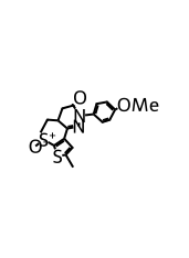 COc1ccc(N2N=C3c4cc(C)sc4[S+]([O-])CCC3CC2=O)cc1